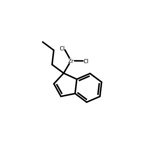 CCC[C]1([Zr]([Cl])[Cl])C=Cc2ccccc21